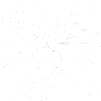 CCCS(=O)(=O)N1CCN(C2(CNC(=O)c3c(C)cccc3Cl)CCC(F)(F)CC2)CC1.Cl